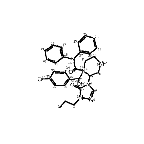 CCCn1ncn(C2CNCC[N+]2(C(=O)N(c2ccccc2)c2ccccc2)C(O)c2ccc(Cl)cc2)c1=O